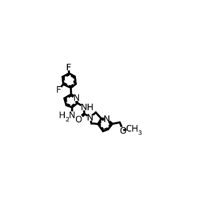 COCc1ccc2c(n1)CN(C(=O)Nc1nc(-c3ccc(F)cc3F)ccc1N)C2